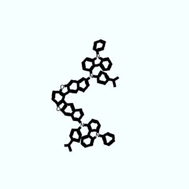 CC(C)c1ccc(N(c2ccc3cc4c(cc3c2)oc2ccc3oc5cc6cc(N(c7ccc(C(C)C)cc7)c7cccc8c7c7ccccc7n8-c7ccccc7)ccc6cc5c3c24)c2cccc3c2c2ccccc2n3-c2ccccc2)cc1